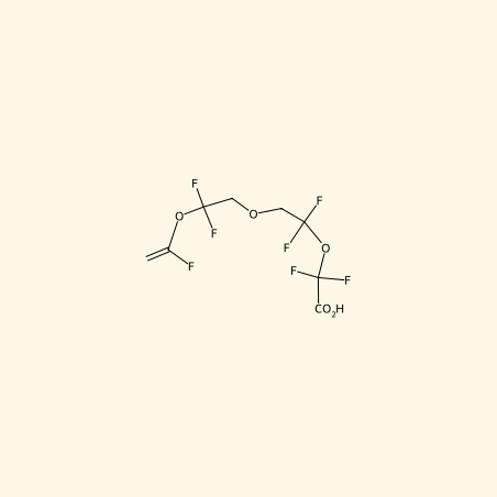 C=C(F)OC(F)(F)COCC(F)(F)OC(F)(F)C(=O)O